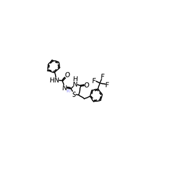 O=C(/N=C1\NC(=O)C(Cc2cccc(C(F)(F)F)c2)S1)Nc1ccccc1